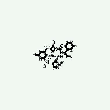 CCC(NC(=O)N1C(=O)[C@H](Cc2cc(C)nc(NC)c2)[C@H]1C(=O)N(C)c1ccnn1C)c1ccccc1